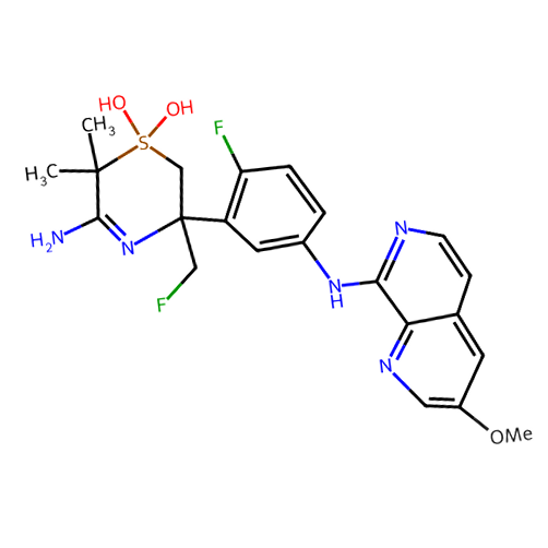 COc1cnc2c(Nc3ccc(F)c(C4(CF)CS(O)(O)C(C)(C)C(N)=N4)c3)nccc2c1